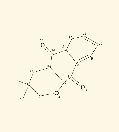 CC1(C)COC2C(=O)C3=CC=CCC3C(=O)C2C1